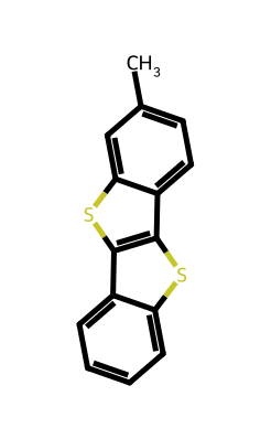 Cc1ccc2c(c1)sc1c3ccccc3sc21